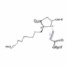 CCCCCC(=O)/C=C/[C@H]1C(O)CC(=O)[C@@H]1CCCCCCC(=O)O